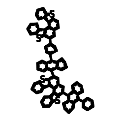 c1ccc(-c2c3ccccc3c(-c3cc4cc(-c5c6ccccc6c(-c6ccc(-c7cc8ccc9sc%10ccccc%10c9c8c8c7sc7ccccc78)cc6)c6ccccc56)c5sc6ccccc6c5c4c4c3sc3ccccc34)c3ccccc23)cc1